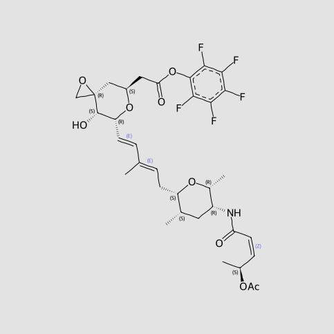 CC(=O)O[C@@H](C)/C=C\C(=O)N[C@@H]1C[C@H](C)[C@H](C/C=C(C)/C=C/[C@H]2O[C@H](CC(=O)Oc3c(F)c(F)c(F)c(F)c3F)C[C@@]3(CO3)[C@H]2O)O[C@@H]1C